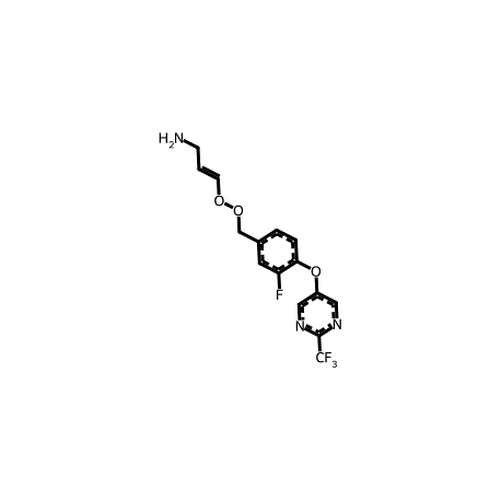 NCC=COOCc1ccc(Oc2cnc(C(F)(F)F)nc2)c(F)c1